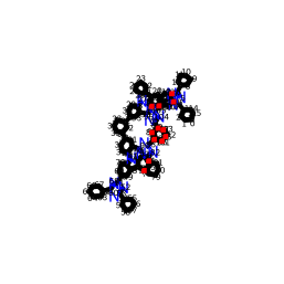 c1ccc(-c2nc(-c3ccccc3)nc(-c3ccc4c(c3)c3ccccc3n4-c3ccc(-c4cccc(-c5ccc(-n6c7ccccc7c7cc(-c8nc(-c9ccccc9)nc(-c9ccccc9)n8)ccc76)c(-c6nc(-c7ccccc7)nc(-c7ccccc7)n6)c5)c4)cc3-c3nc(-c4ccccc4)nc(-c4ccccc4)n3)n2)cc1